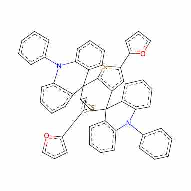 c1ccc(N2c3ccccc3C3(c4ccccc42)c2cc(-c4ccco4)sc2C2(c4ccccc4N(c4ccccc4)c4ccccc42)c2cc(-c4ccco4)sc23)cc1